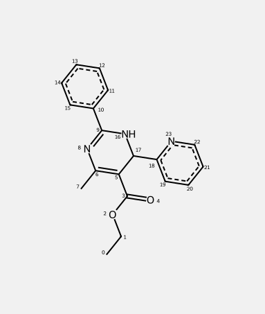 CCOC(=O)C1=C(C)N=C(c2ccccc2)NC1c1ccccn1